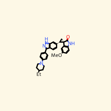 CCC1CCN(c2ccc(-c3n[nH]c4cc([C@@H]5C[C@@]56C(=O)Nc5ccc(OC)cc56)ccc34)cc2)CC1